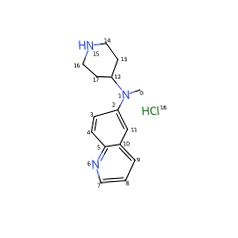 CN(c1ccc2ncccc2c1)C1CCNCC1.Cl